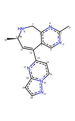 Cc1ncc2c(n1)CN[C@H](C)C=C2c1ccn2nccc2n1